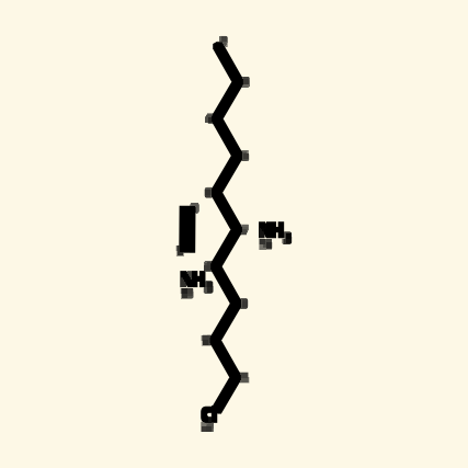 C=C.CCCCCCCCCCCl.N.N